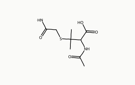 CC(=O)NC(C(=O)O)C(C)(C)SCC([NH])=O